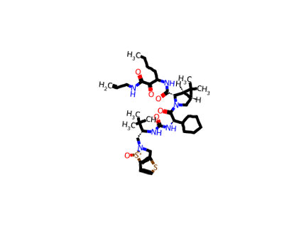 C=CCNC(=O)C(=O)C(CCCC)NC(=O)[C@@H]1[C@@H]2[C@H](CN1C(=O)[C@@H](NC(=O)N[C@H](CN1Cc3sccc3[S+]1[O-])C(C)(C)C)C1CCCCC1)C2(C)C